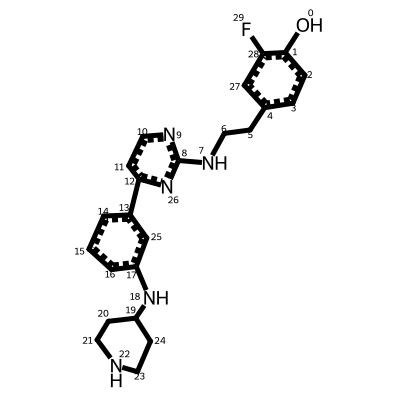 Oc1ccc(CCNc2nccc(-c3cccc(NC4CCNCC4)c3)n2)cc1F